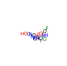 Cc1nc(N2CCC(O)CC2)ccc1C(=O)Nc1ccc(Cl)c(NC(=O)c2ccc(F)cc2)c1